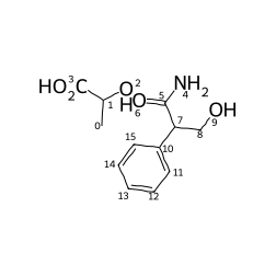 CC(O)C(=O)O.NC(=O)C(CO)c1ccccc1